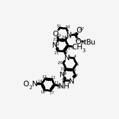 Cc1c(N2CCc3cnc(Nc4ccc([N+](=O)[O-])cc4)nc3C2)cnc2c1N(C(=O)OC(C)(C)C)CCO2